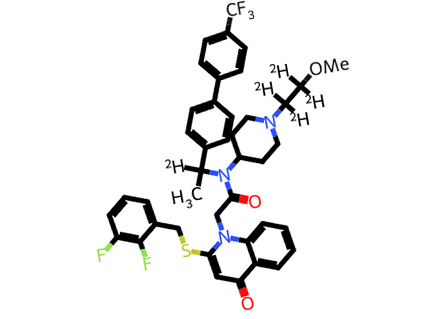 [2H]C(C)(c1ccc(-c2ccc(C(F)(F)F)cc2)cc1)N(C(=O)Cn1c(SCc2cccc(F)c2F)cc(=O)c2ccccc21)C1CCN(C([2H])([2H])C([2H])([2H])OC)CC1